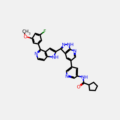 COc1cc(F)cc(-c2nccc3[nH]c(-c4n[nH]c5ncc(-c6cncc(NC(=O)C7CCCC7)c6)cc45)cc23)c1